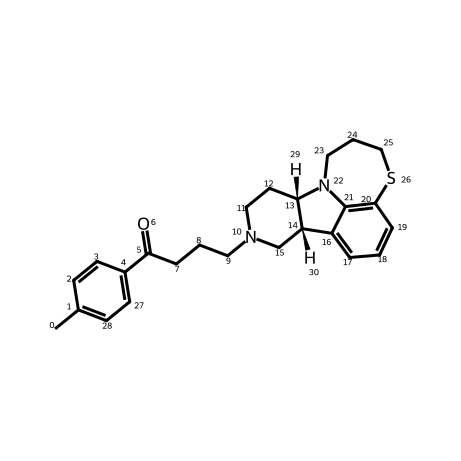 Cc1ccc(C(=O)CCCN2CC[C@H]3[C@@H](C2)c2cccc4c2N3CCCS4)cc1